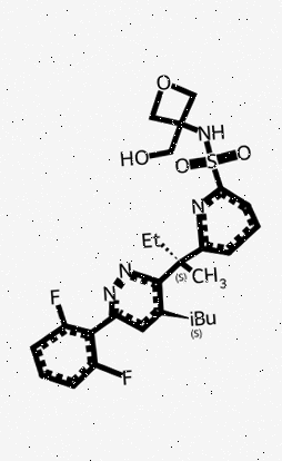 CC[C@H](C)c1cc(-c2c(F)cccc2F)nnc1[C@@](C)(CC)c1cccc(S(=O)(=O)NC2(CO)COC2)n1